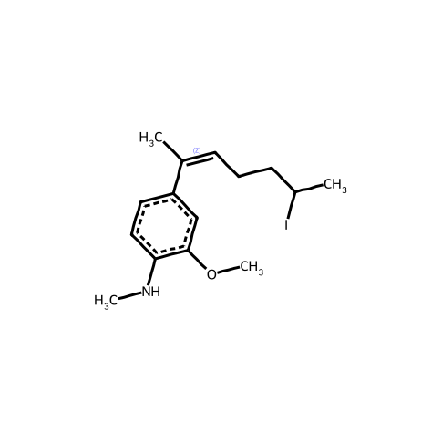 CNc1ccc(/C(C)=C\CCC(C)I)cc1OC